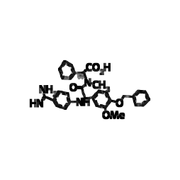 COc1cc([C@H](Nc2ccc(C(=N)N)cc2)C(=O)N(C)[C@H](C(=O)O)c2ccccc2)ccc1OCc1ccccc1